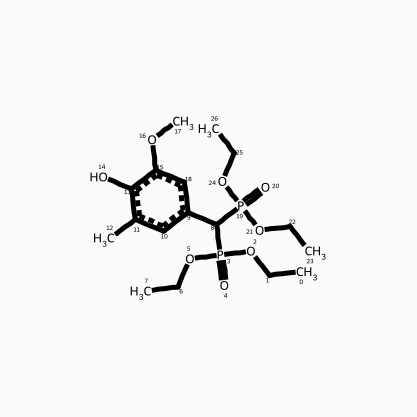 CCOP(=O)(OCC)C(c1cc(C)c(O)c(OC)c1)P(=O)(OCC)OCC